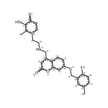 Cc1c(O)c(=O)ccn1CCNCc1cc(=O)oc2cc(OCc3cc(F)ccc3F)ccc12